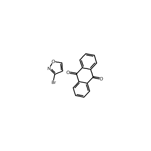 Brc1ccon1.O=C1c2ccccc2C(=O)c2ccccc21